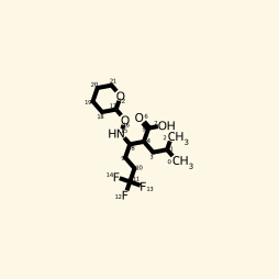 CC(C)CC(C(=O)O)C(CCC(F)(F)F)NOC1CCCCO1